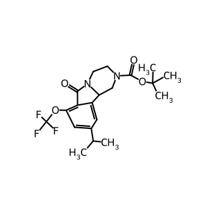 CC(C)c1cc(OC(F)(F)F)c2c(c1)C1CN(C(=O)OC(C)(C)C)CCN1C2=O